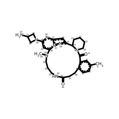 Cc1ccc2c(c1)C(=O)N1CCCCC1c1cc3nc(N4CC(N)C4)cc(n3n1)N(C)CCCNC(=O)CC2